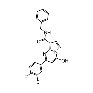 O=C(NCc1ccccc1)c1cnn2c(O)cc(-c3ccc(F)c(Cl)c3)nc12